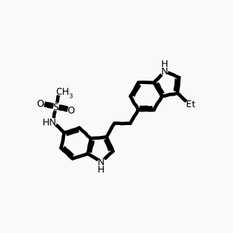 CCc1c[nH]c2ccc(CCc3c[nH]c4ccc(NS(C)(=O)=O)cc34)cc12